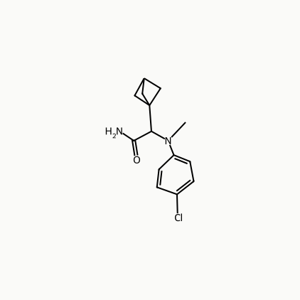 CN(c1ccc(Cl)cc1)C(C(N)=O)C12CC(C1)C2